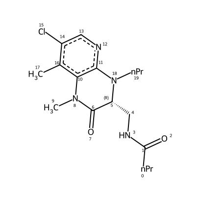 CCCC(=O)NC[C@@H]1C(=O)N(C)c2c(ncc(Cl)c2C)N1CCC